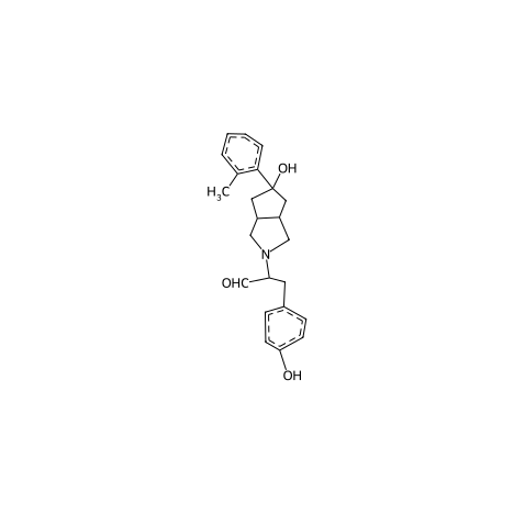 Cc1ccccc1C1(O)CC2CN(C(C=O)Cc3ccc(O)cc3)CC2C1